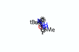 CSc1cc(C)ccc1NC(=O)Nc1cc(C(C)(C)C)nn1-c1ccccc1